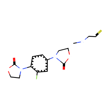 O=C1O[C@@H](CNCC=S)CN1c1ccc(N2CCOC2=O)c(F)c1